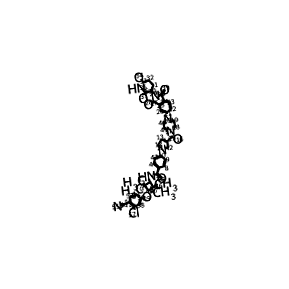 CC1(C)C(NC(=O)c2ccc(N3CC[C@@H](C(=O)N4CCN(c5ccc6c(c5)C(=O)N(C5CCC(=O)NC5=O)C6=O)CC4)C3)cc2)C(C)(C)C1Oc1ccc(C#N)c(Cl)c1